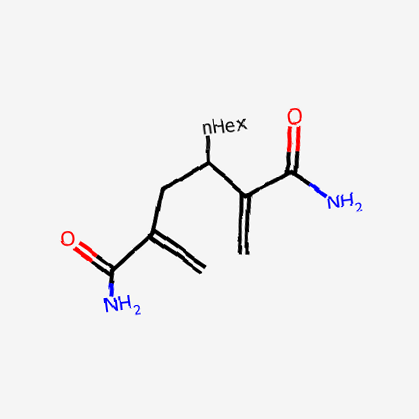 C=C(CC(CCCCCC)C(=C)C(N)=O)C(N)=O